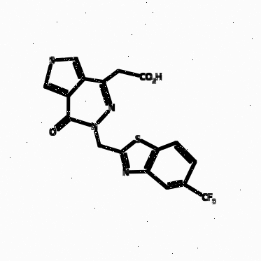 O=C(O)Cc1nn(Cc2nc3cc(C(F)(F)F)ccc3s2)c(=O)c2cscc12